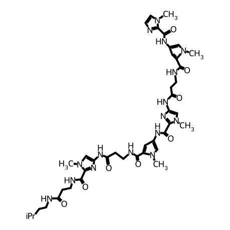 CC(C)CCNC(=O)CCNC(=O)c1nc(NC(=O)CCNC(=O)c2cc(NC(=O)c3nc(NC(=O)CCNC(=O)c4cc(NC(=O)c5nccn5C)cn4C)cn3C)cn2C)cn1C